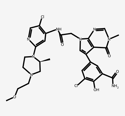 COCCN1CCN(c2cc(NC(=O)Cn3cc(-c4cc(Cl)c(O)c(C(N)=O)c4)c4c(=O)n(C)cnc43)c(Cl)cn2)[C@@H](C)C1